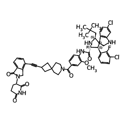 COc1cc(C(=O)N2CCC3(CC2)CC(C#Cc2cccc4c2CN(C2CCC(=O)NC2=O)C4=O)C3)ccc1NC(=O)[C@@H]1N[C@@H](CC(C)(C)C)[C@@]2(CNc3cc(Cl)ccc32)[C@H]1c1cccc(Cl)c1F